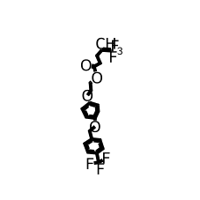 CC(CCC(=O)OCCOc1ccc(OCc2ccc(C(F)(F)F)cc2)cc1)=C(F)F